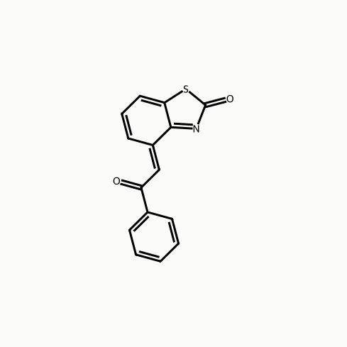 O=C1N=c2c(cccc2=CC(=O)c2ccccc2)S1